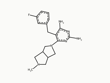 CN1CC2CN(c3nc(N)nc(N)c3Cc3cccc(F)c3)CC2C1